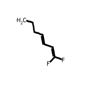 [CH2]CCC=CC=C(F)F